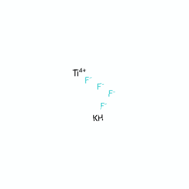 [F-].[F-].[F-].[F-].[KH].[Ti+4]